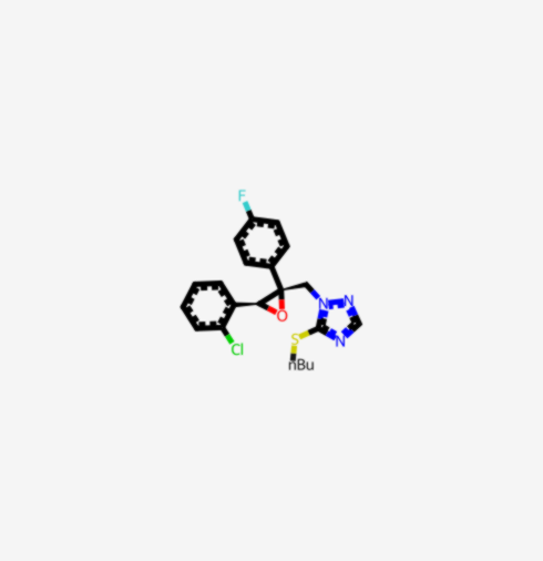 CCCCSc1ncnn1C[C@@]1(c2ccc(F)cc2)O[C@H]1c1ccccc1Cl